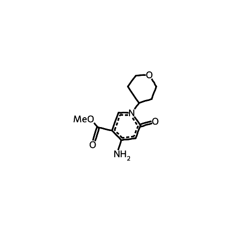 COC(=O)c1cn(C2CCOCC2)c(=O)cc1N